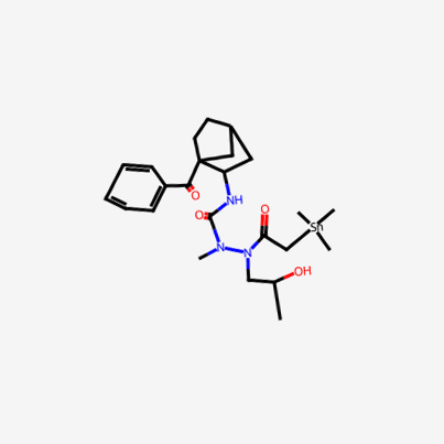 CC(O)CN(C(=O)[CH2][Sn]([CH3])([CH3])[CH3])N(C)C(=O)NC1CC2CCC1(C(=O)c1ccccc1)C2